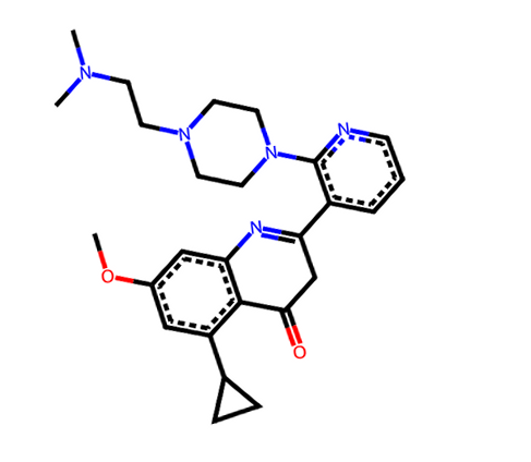 COc1cc2c(c(C3CC3)c1)C(=O)CC(c1cccnc1N1CCN(CCN(C)C)CC1)=N2